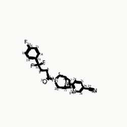 C[C@H]1CC2CN(C(=O)CCC(F)(F)c3ccc(F)cc3)CC1N2c1ccc(C#N)cn1